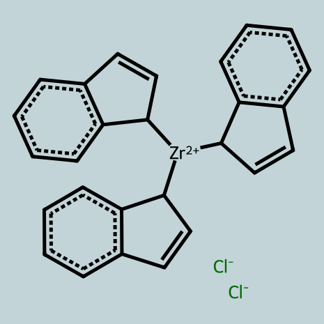 C1=C[CH]([Zr+2]([CH]2C=Cc3ccccc32)[CH]2C=Cc3ccccc32)c2ccccc21.[Cl-].[Cl-]